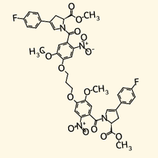 COC(=O)[C@@H]1CC(c2ccc(F)cc2)=CN1C(=O)c1cc(OC)c(OCCCOc2cc([N+](=O)[O-])c(C(=O)N3C=C(c4ccc(F)cc4)C[C@H]3C(=O)OC)cc2OC)cc1[N+](=O)[O-]